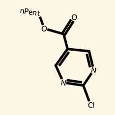 CCCCCOC(=O)c1cnc(Cl)nc1